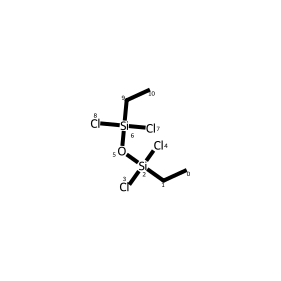 CC[Si](Cl)(Cl)O[Si](Cl)(Cl)CC